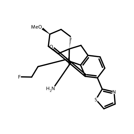 CO[C@H]1CC[C@]2(CC1)Cc1ccc(-c3nccs3)cc1C21N=C(N)N(CCF)C1=O